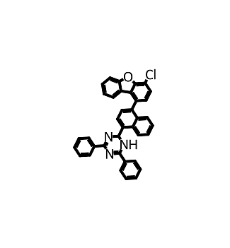 Clc1ccc(-c2ccc(C3N=C(c4ccccc4)N=C(c4ccccc4)N3)c3ccccc23)c2c1oc1ccccc12